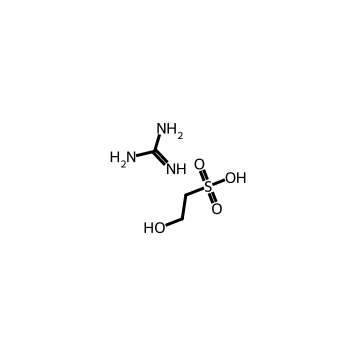 N=C(N)N.O=S(=O)(O)CCO